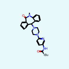 CN1C(=O)c2ccccc2C(N2CCN(c3ccc(NC(=O)C(C)(C)C)cn3)CC2)c2ccccc21